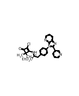 CCOC(=O)[C@H](Cc1ccc(-n2c(-c3cccnc3)nc3cccnc32)cc1)NC1=C(Cl)C(=O)C1(C)C